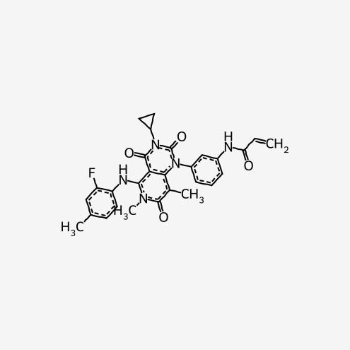 C=CC(=O)Nc1cccc(-n2c(=O)n(C3CC3)c(=O)c3c(Nc4ccc(C)cc4F)n(C)c(=O)c(C)c32)c1